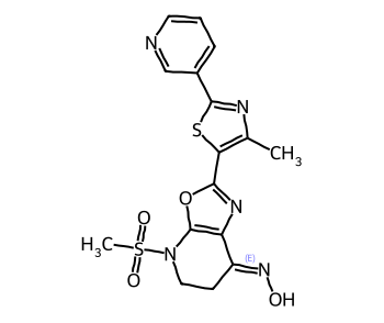 Cc1nc(-c2cccnc2)sc1-c1nc2c(o1)N(S(C)(=O)=O)CC/C2=N\O